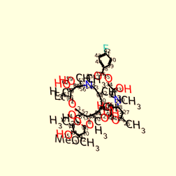 CC[C@H]1OC(=O)[C@H](C)[C@@H](O[C@H]2C[C@@](C)(OC)[C@@H](O)[C@H](C)O2)[C@H](C)[C@@H](O[C@@H]2O[C@H](C)CC(N(C)CC(O)COC(=O)c3ccc(F)cc3)[C@H]2O)[C@](C)(O)C[C@@H](C)CN(C)[C@H](C)[C@@H](O)[C@]1(C)O